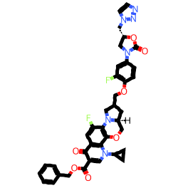 O=C(OCc1ccccc1)c1cn(C2CC2)c2c3c(c(F)cc2c1=O)N1CC(COc2ccc(N4C[C@H](Cn5ccnn5)OC4=O)cc2F)C[C@H]1CO3